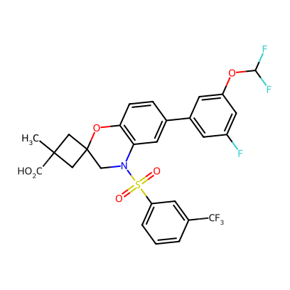 CC1(C(=O)O)CC2(CN(S(=O)(=O)c3cccc(C(F)(F)F)c3)c3cc(-c4cc(F)cc(OC(F)F)c4)ccc3O2)C1